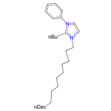 CCCCCCCCCCCCCCCCCCC[n+]1ccn(-c2ccccc2)c1CCCC